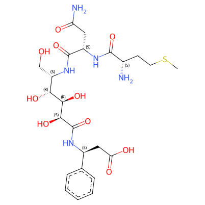 CSCC[C@H](N)C(=O)N[C@@H](CC(N)=O)C(=O)N[C@@H](CO)[C@@H](O)[C@@H](O)[C@H](O)C(=O)N[C@@H](CC(=O)O)c1ccccc1